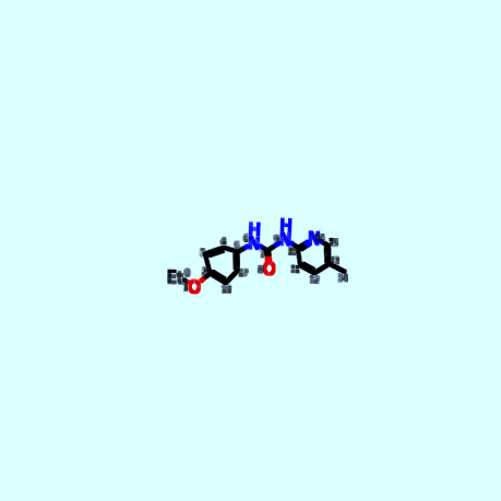 CCOc1ccc(NC(=O)Nc2ccc(C)cn2)cc1